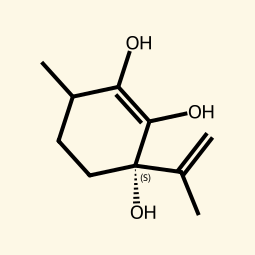 C=C(C)[C@@]1(O)CCC(C)C(O)=C1O